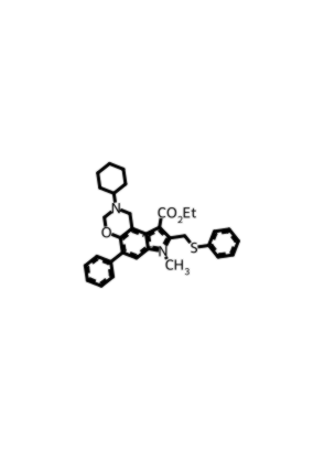 CCOC(=O)c1c(CSc2ccccc2)n(C)c2cc(-c3ccccc3)c3c(c12)CN(C1CCCCC1)CO3